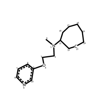 CN(CCOc1cccnc1)C1CCCCCCC1